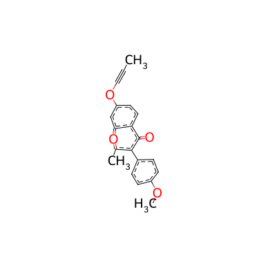 CC#COc1ccc2c(=O)c(-c3ccc(OC)cc3)c(C)oc2c1